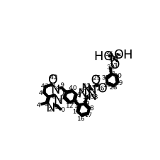 Cc1nc(C)c2c(n1)N(Cc1ccc(-c3ccccc3-c3nnn(C(=O)Oc4cccc(CON(O)O)c4)n3)cc1)C(=O)CC2